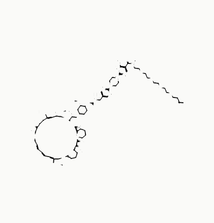 CO[C@H]1C[C@@H]2CC[C@@H](C)[C@@](O)(O2)C(=O)C(=O)N2CCCC[C@H]2C(=O)O[C@H]([C@H](N)C[C@@H]2CC[C@@H](OC(=O)NCc3cnc(N4CCN(c5ncc(C(=O)N(C)CCOCCOCCOCCOCCC(C)=O)c(N)n5)CC4)nc3)[C@H](OC)C2)C[C@@H](OC)[C@H](C)/C=C(\C)[C@@H](O)[C@@H](O)C(=O)[C@H](C)C[C@H](C)/C=C/C=C/C=C/1C